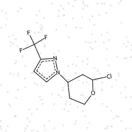 FC(F)(F)c1ccn(C2CCOC(Cl)C2)n1